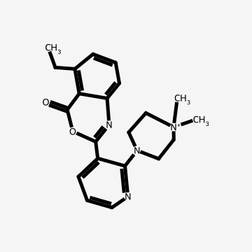 CCc1cccc2nc(-c3cccnc3N3CC[N+](C)(C)CC3)oc(=O)c12